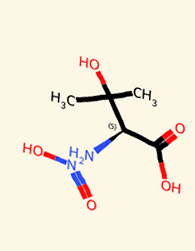 CC(C)(O)[C@H](N)C(=O)O.O=NO